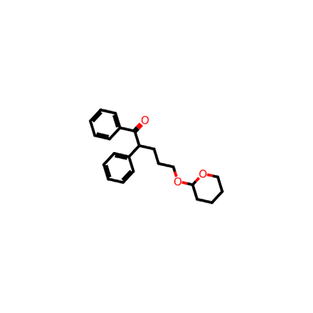 O=C(c1ccccc1)C(CCCOC1CCCCO1)c1ccccc1